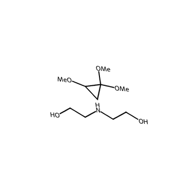 COC1CC1(OC)OC.OCCNCCO